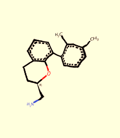 Cc1cccc(-c2cccc3c2O[C@@H](CN)CC3)c1C